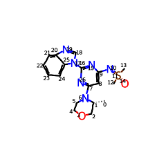 C[C@@H]1COCCN1c1cc(N=S(C)(C)=O)nc(-n2cnc3ccccc32)n1